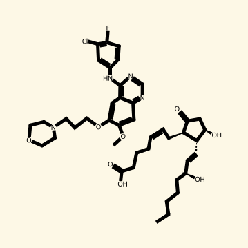 CCCCC[C@H](O)/C=C/[C@H]1[C@H](O)CC(=O)[C@@H]1C/C=C\CCCC(=O)O.COc1cc2ncnc(Nc3ccc(F)c(Cl)c3)c2cc1OCCCN1CCOCC1